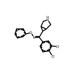 Clc1ccc(C(=NOc2ccccc2)C2C3CNCC32)cc1Cl